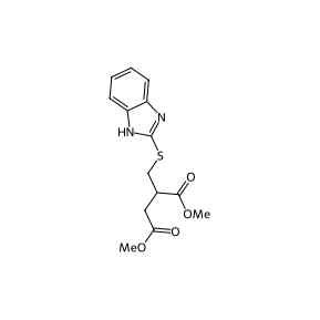 COC(=O)CC(CSc1nc2ccccc2[nH]1)C(=O)OC